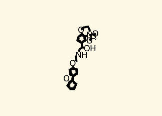 CS(=O)(=O)N1CCCOc2ccc(C(O)CNCCOc3ccc4c(c3)oc3ccccc34)cc21